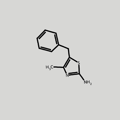 Cc1nc(N)sc1Cc1ccccc1